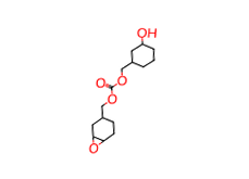 O=C(OCC1CCCC(O)C1)OCC1CCC2OC2C1